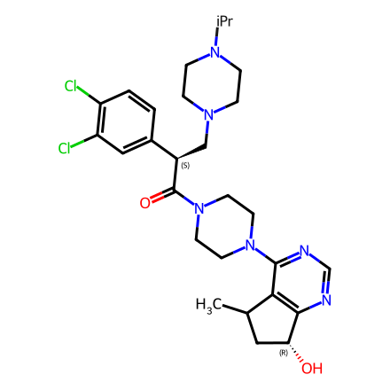 CC1C[C@@H](O)c2ncnc(N3CCN(C(=O)[C@H](CN4CCN(C(C)C)CC4)c4ccc(Cl)c(Cl)c4)CC3)c21